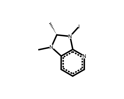 C[C@H]1N(C)c2cccnc2N1I